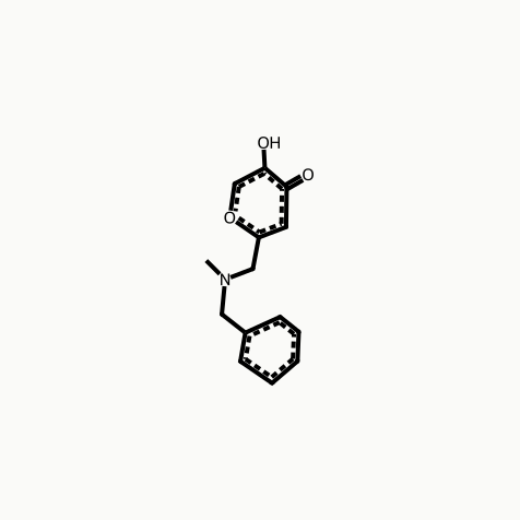 CN(Cc1ccccc1)Cc1cc(=O)c(O)co1